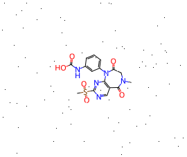 CN1CC(=O)N(c2cccc(NC(=O)O)c2)c2nc(S(C)(=O)=O)ncc2C1=O